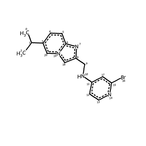 CC(C)c1ccc2nc(CNc3ccnc(Br)c3)cn2c1